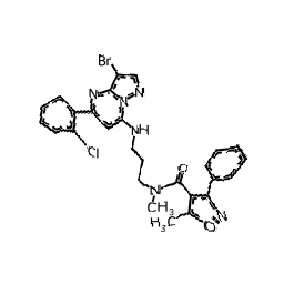 Cc1onc(-c2ccccc2)c1C(=O)N(C)CCCNc1cc(-c2ccccc2Cl)nc2c(Br)cnn12